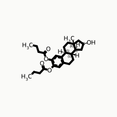 CCCC(=O)Oc1cc2c(cc1OC(=O)CCC)[C@H]1CC[C@]3(C)C[C@H](O)C[C@H]3[C@@H]1CC2